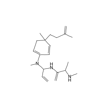 C=CC(NC(=C)C(C)NC)N(C)C1=CCC(C)(CCC(=C)C)C=C1